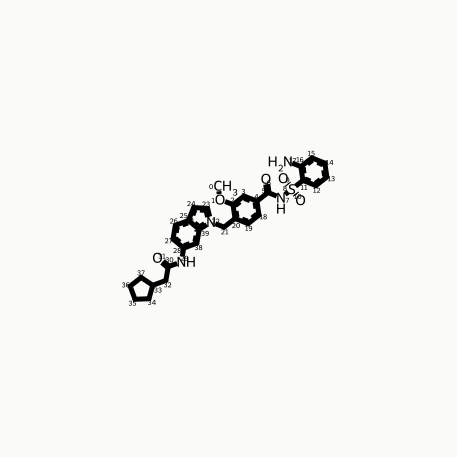 COc1cc(C(=O)NS(=O)(=O)c2ccccc2N)ccc1Cn1ccc2ccc(NC(=O)CC3CCCC3)cc21